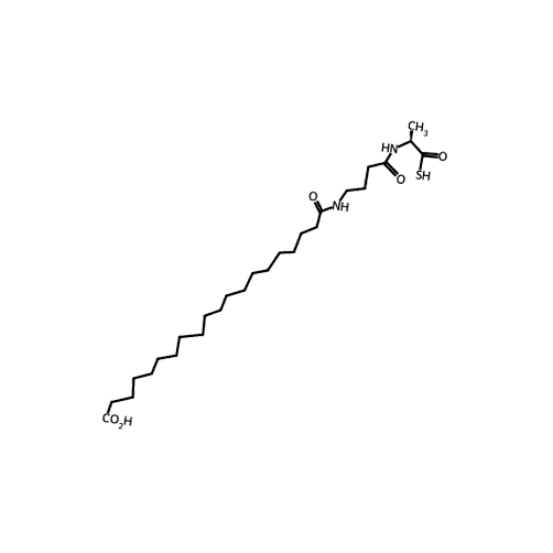 C[C@H](NC(=O)CCCNC(=O)CCCCCCCCCCCCCCCCCCC(=O)O)C(=O)S